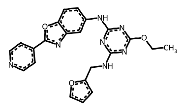 CCOc1nc(NCc2ccco2)nc(Nc2ccc3oc(-c4ccncc4)nc3c2)n1